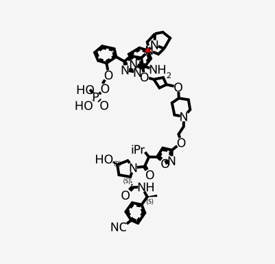 CC(C)C(C(=O)N1C[C@H](O)C[C@H]1C(=O)N[C@@H](C)c1ccc(C#N)cc1)c1cc(OCCN2CCC(OC3CC(Oc4cc(N5C6CCC5CN(c5cc(-c7ccccc7OCOP(=O)(O)O)nnc5N)C6)ccn4)C3)CC2)no1